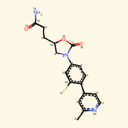 Cc1cc(-c2ccc(N3CC(CCC(N)=O)OC3=O)cc2F)ccn1